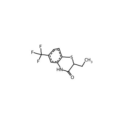 CCC1Sc2ccc(C(F)(F)F)cc2NC1=O